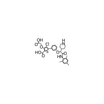 Cc1cc(C)c(NC(=O)C(Oc2cccc(-c3sc(C(=O)O)c(OCC(=O)O)c3Cl)c2)C2CCNCC2)c(C)c1